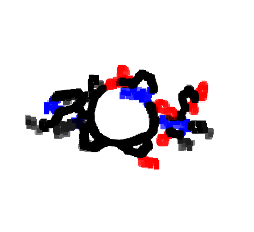 CCn1c(-c2cccnc2[C@H](C)OC)c2c3cc(ccc31)-c1cc(O)cc(c1)C[C@H](NC(=O)[C@H](C(C)C)N(C)C(=O)[C@H]1CCC(=O)O1)C(=O)N1CCC[C@@](O)(N1)C(=O)OCC(C)(C)C2